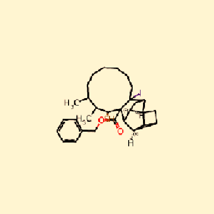 CC1CCCCCCC2(I)C3C[C@@H]4C([C@@H]5C6CC34C65)C2(C(=O)OCc2ccccc2)C(S)C1C